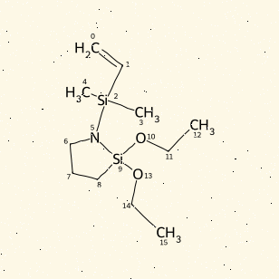 C=C[Si](C)(C)N1CCC[Si]1(OCC)OCC